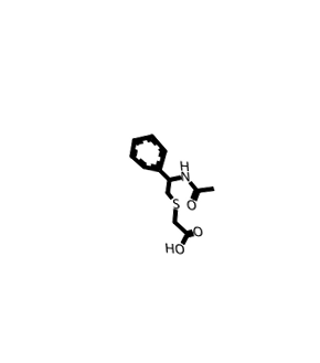 CC(=O)NC(CSCC(=O)O)c1ccccc1